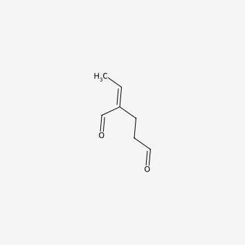 CC=C(C=O)CCC=O